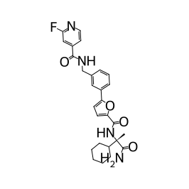 C[C@@](NC(=O)c1ccc(-c2cccc(CNC(=O)c3ccnc(F)c3)c2)o1)(C(N)=O)C1CCCCC1